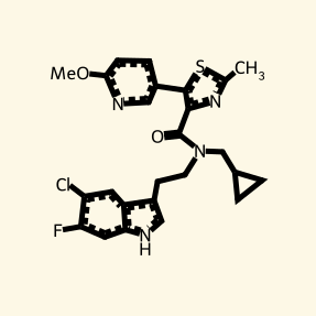 COc1ccc(-c2sc(C)nc2C(=O)N(CCc2c[nH]c3cc(F)c(Cl)cc23)CC2CC2)cn1